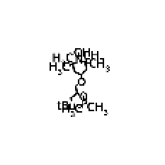 CP(C)OC(COC1CC(C)(C)N(O)C(C)(C)C1)CC(C)(C)C